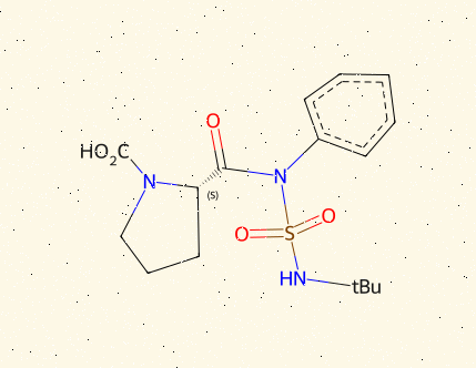 CC(C)(C)NS(=O)(=O)N(C(=O)[C@@H]1CCCN1C(=O)O)c1ccccc1